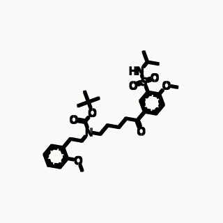 COc1ccccc1CCN(CCCCC(=O)c1ccc(OC)c(S(=O)(=O)NC(C)C)c1)C(=O)OC(C)(C)C